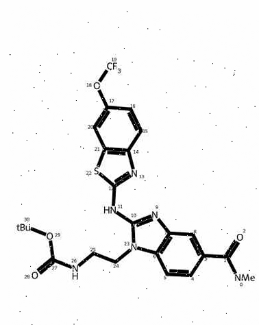 CNC(=O)c1ccc2c(c1)nc(Nc1nc3ccc(OC(F)(F)F)cc3s1)n2CCNC(=O)OC(C)(C)C